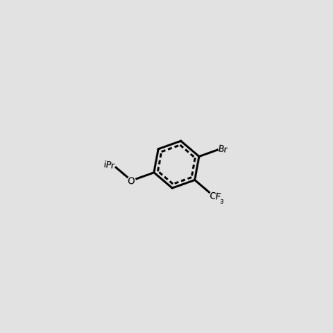 CC(C)Oc1ccc(Br)c(C(F)(F)F)c1